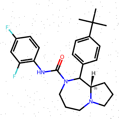 CC(C)(C)c1ccc(C2[C@@H]3CCCN3CCCN2C(=O)Nc2ccc(F)cc2F)cc1